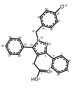 O=C(O)Cc1c(-c2ccccc2)nn(Cc2ccc(Cl)cc2)c1-c1ccccc1